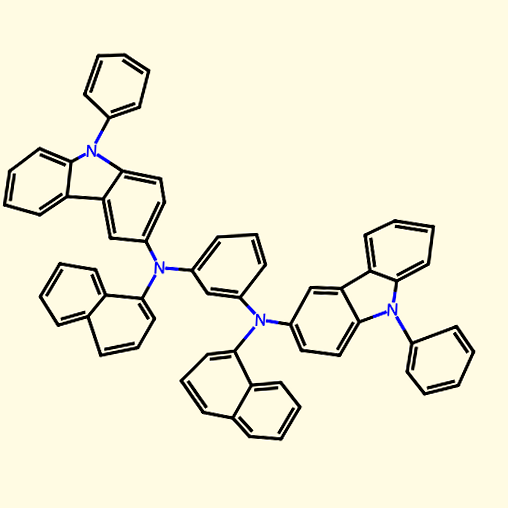 c1ccc(-n2c3ccccc3c3cc(N(c4cccc(N(c5ccc6c(c5)c5ccccc5n6-c5ccccc5)c5cccc6ccccc56)c4)c4cccc5ccccc45)ccc32)cc1